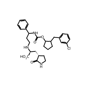 O=C(NC(CCN[C@@H](C[C@@H]1CCNC1=O)C(=O)O)c1ccccc1)OC1CCCC1Cc1cccc(Cl)c1